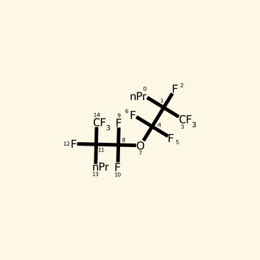 CCCC(F)(C(F)(F)F)C(F)(F)OC(F)(F)C(F)(CCC)C(F)(F)F